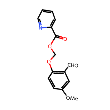 COc1ccc(OCOC(=O)c2ccccn2)c(C=O)c1